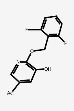 CC(=O)c1cnc(OCc2c(F)cccc2F)c(O)c1